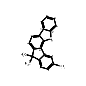 CC1(C)c2ccc(N)cc2-c2c1ccc1c2oc2ccccc21